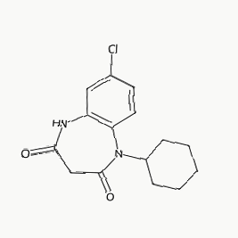 O=C1CC(=O)N(C2CCCCC2)c2ccc(Cl)cc2N1